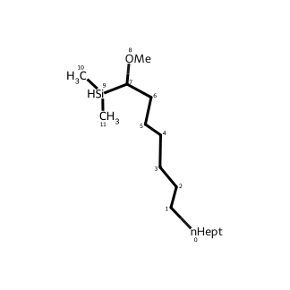 CCCCCCCCCCCCCC(OC)[SiH](C)C